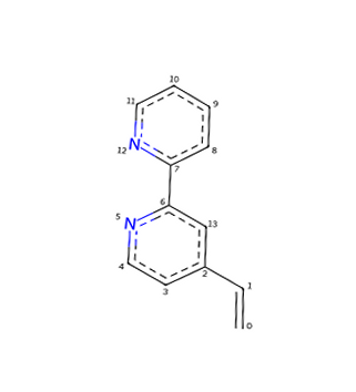 C=Cc1ccnc(-c2ccccn2)c1